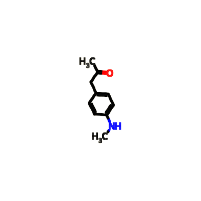 CNc1ccc(CC(C)=O)cc1